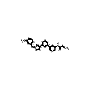 C=CC(=O)Nc1cncc(-c2cccc(-c3ccn(Cc4cccc(C(F)(F)F)c4)n3)c2)c1